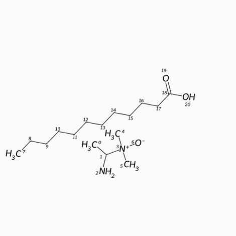 CC(N)[N+](C)(C)[O-].CCCCCCCCCCCC(=O)O